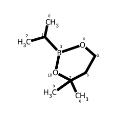 CC(C)B1OCCC(C)(C)O1